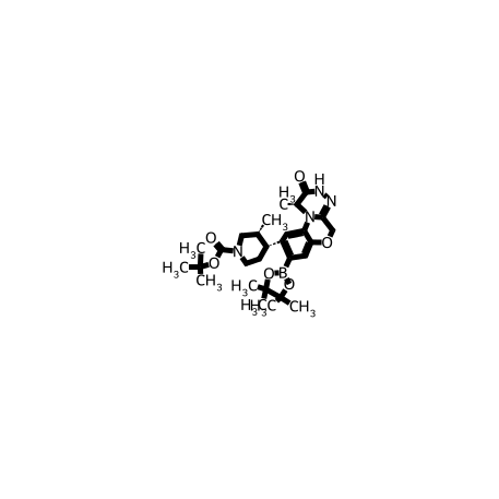 C[C@@H]1C(=O)NN=C2COc3cc(B4OC(C)(C)C(C)(C)O4)c([C@@H]4CCN(C(=O)OC(C)(C)C)C[C@@H]4C)cc3N21